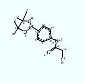 CC1(C)OB(c2ccc(NC(=O)CCl)cc2)OC1(C)C